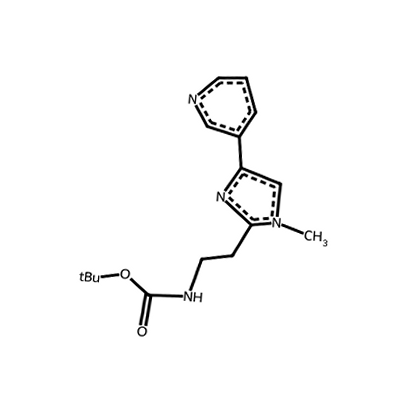 Cn1cc(-c2cccnc2)nc1CCNC(=O)OC(C)(C)C